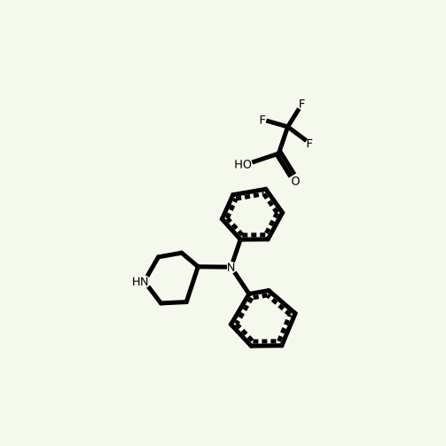 O=C(O)C(F)(F)F.c1ccc(N(c2ccccc2)C2CCNCC2)cc1